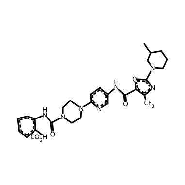 CC1CCCN(c2nc(C(F)(F)F)c(C(=O)Nc3ccc(N4CCN(C(=O)Nc5ccccc5C(=O)O)CC4)nc3)o2)C1